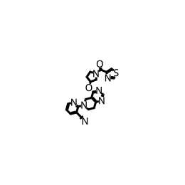 N#Cc1cccnc1N1CCc2ncnc(OC3CCN(C(=O)c4cscn4)C3)c2C1